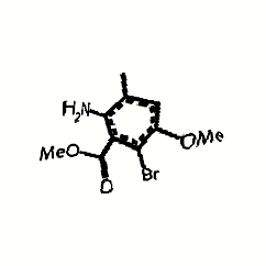 COC(=O)c1c(N)c(C)cc(OC)c1Br